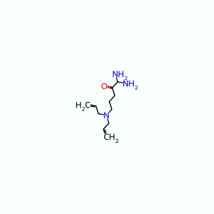 C=CCN(CC=C)CCCC(=O)C(N)N